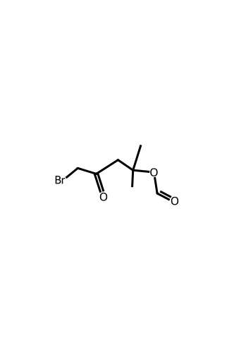 CC(C)(CC(=O)CBr)OC=O